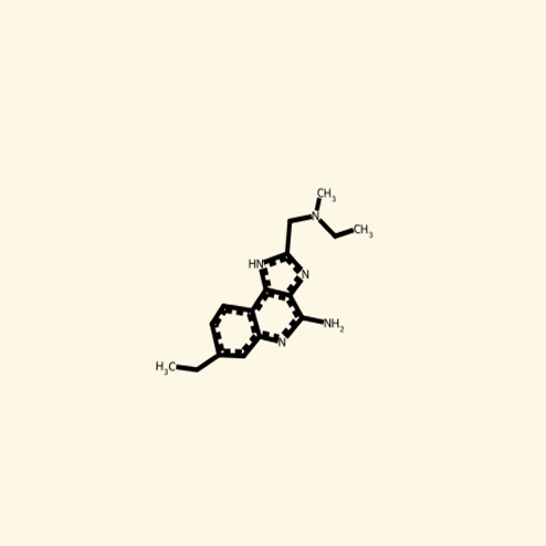 CCc1ccc2c(c1)nc(N)c1nc(CN(C)CC)[nH]c12